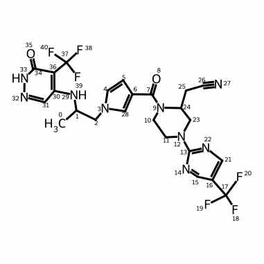 CC(Cn1ccc(C(=O)N2CCN(c3ncc(C(F)(F)F)cn3)CC2CC#N)c1)Nc1cn[nH]c(=O)c1C(F)(F)F